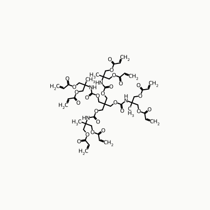 C=CC(=O)OCC(C)(COC(=O)C=C)NC(=O)OCC(COC(=O)NC(C)(COC(=O)C=C)COC(=O)C=C)(COC(=O)NC(C)(COC(=O)C=C)COC(=O)C=C)COC(=O)NC(C)(COC(=O)C=C)COC(=O)C=C